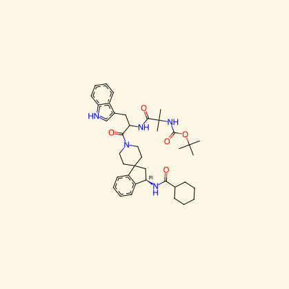 CC(C)(C)OC(=O)NC(C)(C)C(=O)NC(Cc1c[nH]c2ccccc12)C(=O)N1CCC2(CC1)C[C@@H](NC(=O)C1CCCCC1)c1ccccc12